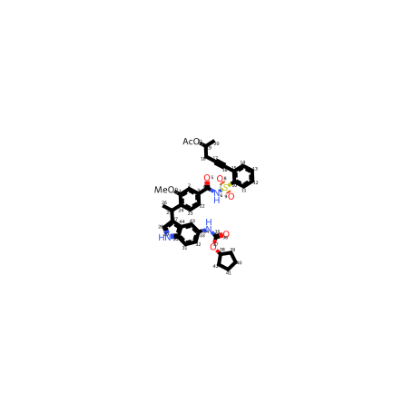 COc1cc(C(=O)NS(=O)(=O)c2ccccc2C#CCC(C)OC(C)=O)ccc1C(C)c1c[nH]c2ccc(NC(=O)OC3CCCC3)cc12